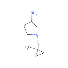 NC1CCN(CC2(C(F)(F)F)CC2)C1